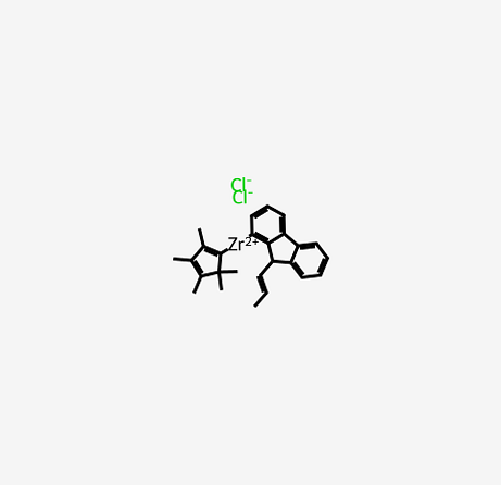 CC=CC1c2ccccc2-c2ccc[c]([Zr+2][C]3=C(C)C(C)=C(C)C3(C)C)c21.[Cl-].[Cl-]